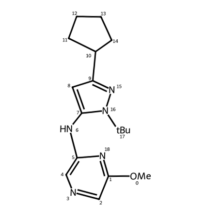 COc1cncc(Nc2cc(C3CCCC3)nn2C(C)(C)C)n1